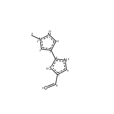 Cn1cc(-c2ncc(C=O)s2)cn1